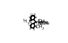 CCCCCCC(c1ccccc1C)c1ccccc1C.CNC